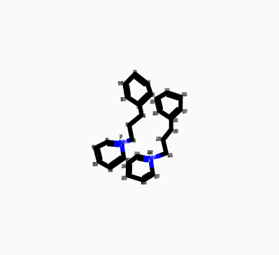 c1ccc(CCC[n+]2ccccc2)cc1.c1ccc(CCC[n+]2ccccc2)cc1